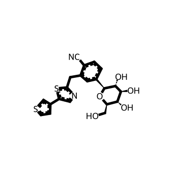 N#Cc1ccc([C@@H]2O[C@H](CO)[C@@H](O)[C@H](O)[C@H]2O)cc1Cc1ncc(-c2ccsc2)s1